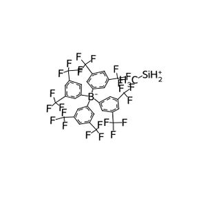 C[SiH2+].FC(F)(F)c1cc([B-](c2cc(C(F)(F)F)cc(C(F)(F)F)c2)(c2cc(C(F)(F)F)cc(C(F)(F)F)c2)c2cc(C(F)(F)F)cc(C(F)(F)F)c2)cc(C(F)(F)F)c1